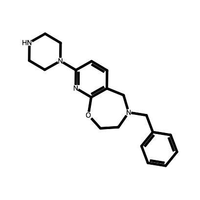 c1ccc(CN2CCOc3nc(N4CCNCC4)ccc3C2)cc1